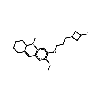 COc1cc2c(cc1OCCCN1CC(F)C1)N(C)C1CCCCC1=C2